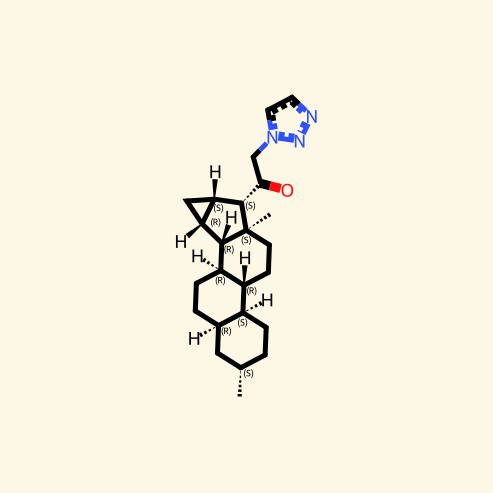 C[C@H]1CC[C@H]2[C@H](CC[C@@H]3[C@@H]2CC[C@@]2(C)[C@H]3[C@@H]3C[C@@H]3[C@@H]2C(=O)Cn2ccnn2)C1